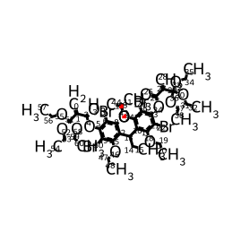 C=C(C(=O)Oc1c(Br)c(OCC)c(C(CC)c2c(OCC)c(Br)c(OC(=O)C(=C)C(OCC)(OCC)OCC)c(Br)c2OCC)c(OCC)c1Br)C(OCC)(OCC)OCC